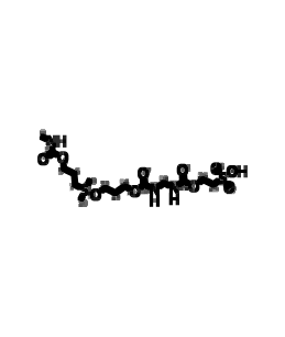 CNC(=O)OCCC[Si](C)(C)OCCCOC(=O)NCNC(=O)OCCS(=O)(=O)O